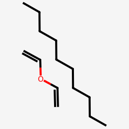 C=COC=C.CCCCCCCCCC